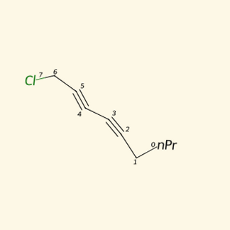 CCCCC#CC#CCCl